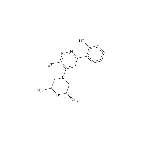 CC1CN(c2cc(-c3ccccc3O)nnc2N)C[C@@H](C)O1